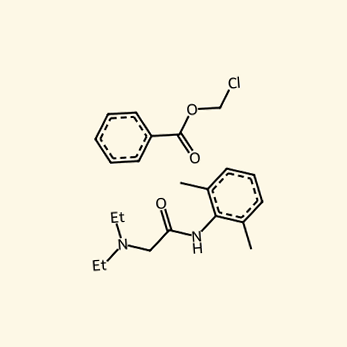 CCN(CC)CC(=O)Nc1c(C)cccc1C.O=C(OCCl)c1ccccc1